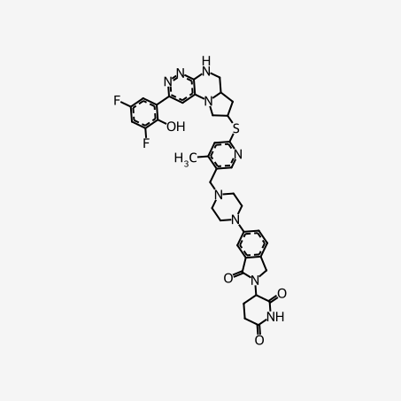 Cc1cc(SC2CC3CNc4nnc(-c5cc(F)cc(F)c5O)cc4N3C2)ncc1CN1CCN(c2ccc3c(c2)C(=O)N(C2CCC(=O)NC2=O)C3)CC1